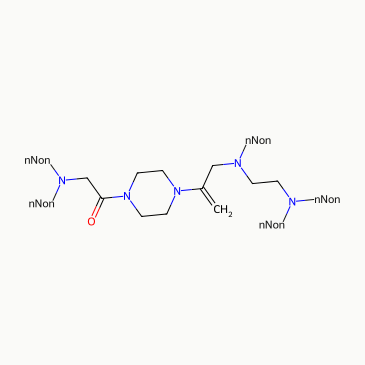 C=C(CN(CCCCCCCCC)CCN(CCCCCCCCC)CCCCCCCCC)N1CCN(C(=O)CN(CCCCCCCCC)CCCCCCCCC)CC1